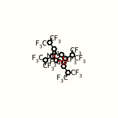 N#Cc1cccc(-n2c3ccc(-c4cc(C(F)(F)F)cc(C(F)(F)F)c4)cc3c3cc(-c4cc(C(F)(F)F)cc(C(F)(F)F)c4)ccc32)c1-c1c(-c2c(C(F)(F)F)cccc2C(F)(F)F)cccc1-n1c2ccc(-c3cc(C(F)(F)F)cc(C(F)(F)F)c3)cc2c2cc(-c3cc(C(F)(F)F)cc(C(F)(F)F)c3)ccc21